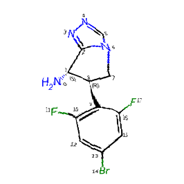 N[C@@H]1c2nncn2C[C@H]1c1c(F)cc(Br)cc1F